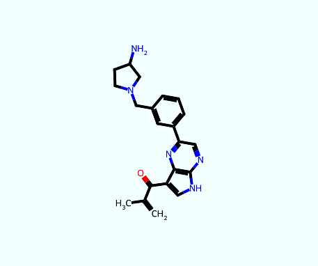 C=C(C)C(=O)c1c[nH]c2ncc(-c3cccc(CN4CCC(N)C4)c3)nc12